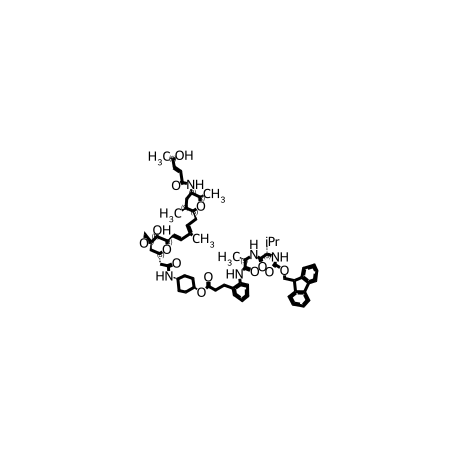 CC(C=C[C@H]1O[C@H](CC(=O)N[C@H]2CC[C@H](OC(=O)CCc3ccccc3NC(=O)[C@H](C)NC(=O)[C@@H](NC(=O)OCC3c4ccccc4-c4ccccc43)C(C)C)CC2)C[C@@]2(CO2)[C@@H]1O)=CC[C@@H]1O[C@H](C)[C@H](NC(=O)C=C[C@H](C)O)C[C@@H]1C